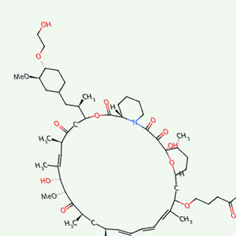 CNC(=O)CCCOC1C[C@@H]2CC[C@@H](C)[C@@](O)(O2)C(=O)C(=O)N2CCCC[C@H]2C(=O)OC([C@H](C)CC2CC[C@@H](OCCO)[C@H](OC)C2)CC(=O)[C@H](C)/C=C(\C)[C@@H](O)[C@@H](OC)C(=O)[C@H](C)C[C@H](C)/C=C/C=C/C=C/1C